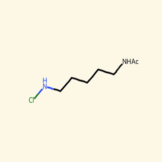 CC(=O)NCCCCCNCl